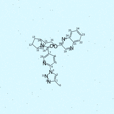 Cc1cn(-c2ccc(C(=O)N3C4CCC3C(COc3cnc5ccccc5n3)C4)cn2)nn1